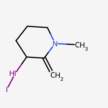 C=C1C([IH]I)CCCN1C